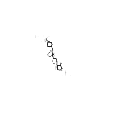 CS(=O)(=O)c1ccc(CN2CCCN(C3CCN(c4ncc(C(F)(F)F)cc4F)CC3)C2=O)c(F)c1